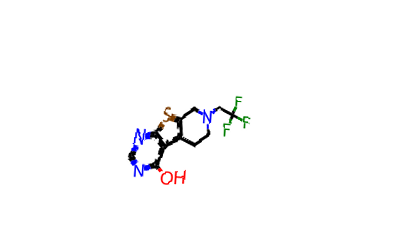 Oc1ncnc2sc3c(c12)CCN(CC(F)(F)F)C3